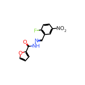 O=C(NN=Cc1cc([N+](=O)[O-])ccc1F)c1ccco1